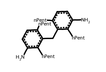 CCCCCc1ccc(N)c(CCCCC)c1Cc1c(CCCCC)ccc(N)c1CCCCC